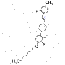 CCCCCCCOc1ccc(C2CCC(/C=C/c3ccc(C)cc3F)CC2)c(F)c1F